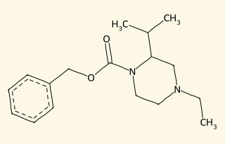 CCN1CCN(C(=O)OCc2ccccc2)C(C(C)C)C1